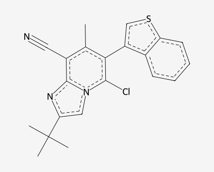 Cc1c(-c2csc3ccccc23)c(Cl)n2cc(C(C)(C)C)nc2c1C#N